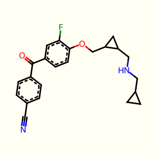 N#Cc1ccc(C(=O)c2ccc(OCC3CC3CNCC3CC3)c(F)c2)cc1